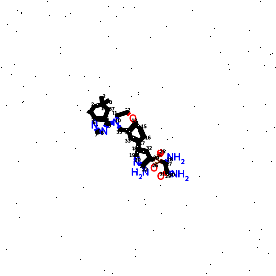 CC1(C)CCc2ncnc(N3CCOc4ccc(-c5cnc(N)c(S(=O)(=O)C(N)C(N)=O)c5)cc4C3)c2C1